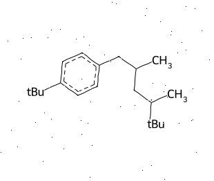 C[C](CC(C)Cc1ccc(C(C)(C)C)cc1)C(C)(C)C